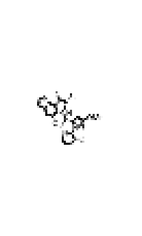 CCNC(=O)c1c(NC(=O)c2cc(OC)nn2-c2ncccc2Cl)c(Cl)cc2ccnn12